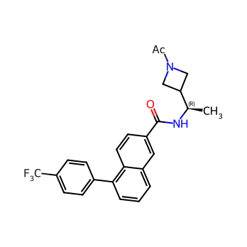 CC(=O)N1CC([C@@H](C)NC(=O)c2ccc3c(-c4ccc(C(F)(F)F)cc4)cccc3c2)C1